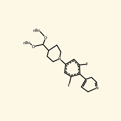 CCCCOC(OCCCC)C1CCN(c2cc(F)c(C3=CCN=CC3)c(F)c2)CC1